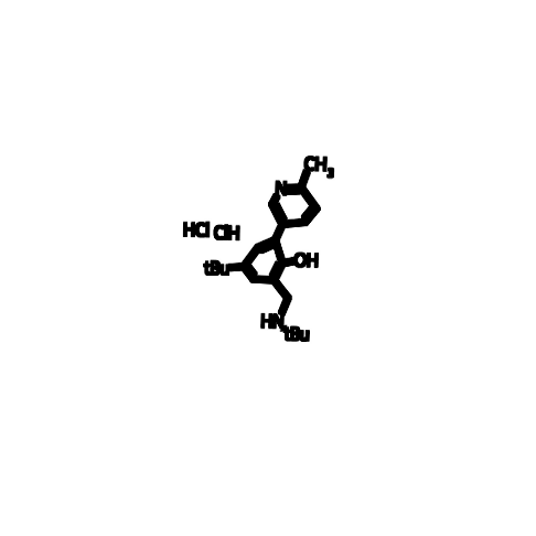 Cc1ccc(-c2cc(C(C)(C)C)cc(CNC(C)(C)C)c2O)cn1.Cl.Cl